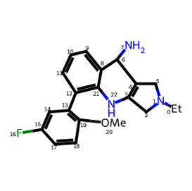 CCN1CC2=C(C1)C(N)c1cccc(-c3cc(F)ccc3OC)c1N2